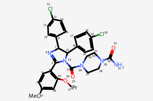 COc1ccc(C2=NC(c3ccc(Cl)cc3)C(c3ccc(Cl)cc3)N2C(=O)N2CCN(C(N)=O)CC2)c(OC(C)C)c1